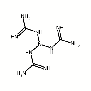 N=C(N)NN(NC(=N)N)NC(=N)N